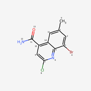 Cc1cc(Br)c2nc(Cl)cc(C(N)=O)c2c1